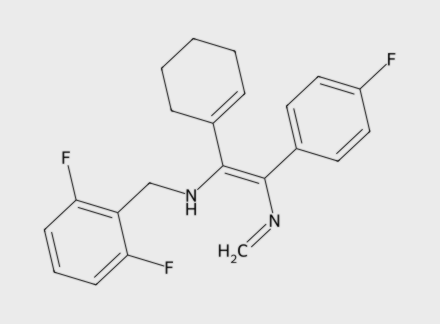 C=N/C(=C(\NCc1c(F)cccc1F)C1=CCCCC1)c1ccc(F)cc1